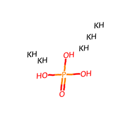 O=P(O)(O)O.[KH].[KH].[KH].[KH].[KH]